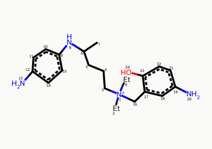 CC[N+](CC)(CCCC(C)Nc1ccc(N)cc1)Cc1cc(N)ccc1O